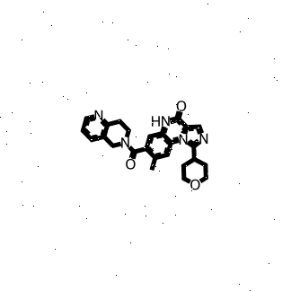 Cc1cc2c(cc1C(=O)N1CCc3ncccc3C1)[nH]c(=O)c1cnc(C3CCOCC3)n12